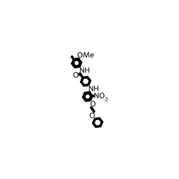 COc1cc(NC(=O)C2CCC(Nc3cccc(OCCOC4CCCCC4)c3[N+](=O)[O-])CC2)ccc1C